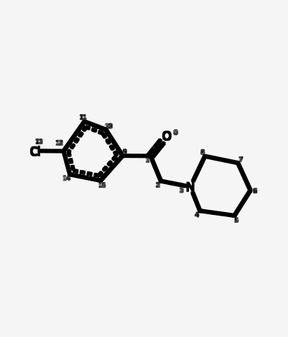 O=C(CN1CCCCC1)c1ccc(Cl)cc1